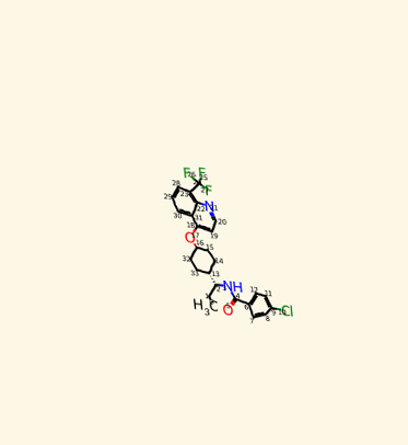 CCC(NC(=O)c1ccc(Cl)cc1)[C@H]1CC[C@H](Oc2ccnc3c(C(F)(F)F)cccc23)CC1